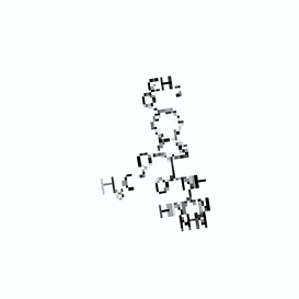 CCOc1c(C(=O)Nc2nnn[nH]2)sc2ccc(OC)cc12